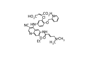 CCOc1cc2ncc(C#N)c(Nc3ccc(OCc4ccccn4)c(Cl)c3)c2cc1NC(=O)C=CCN(C)C.O=C(O)C=CC(=O)O